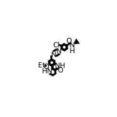 CCOc1cc(CN2CCN(c3ccc(C(=O)NC4CC4)cc3Cl)CC2)cc2[nH]c(=O)c3c(c12)NCCC3